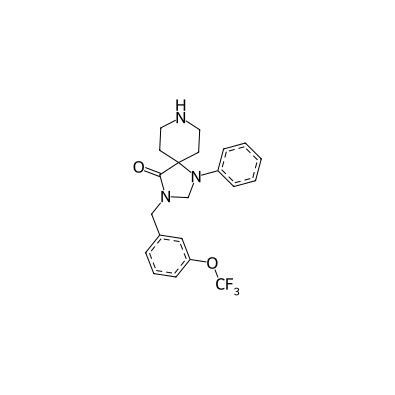 O=C1N(Cc2cccc(OC(F)(F)F)c2)CN(c2ccccc2)C12CCNCC2